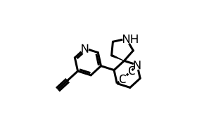 C#Cc1cncc(C2C3CCN(CC3)[C@]23CCNC3)c1